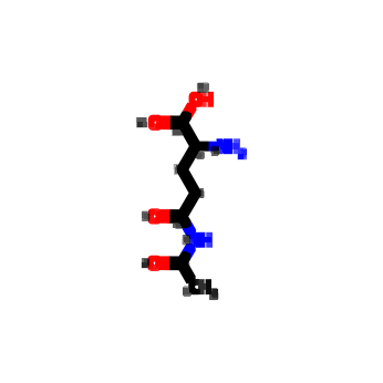 CC(=O)NC(=O)CCC(N)C(=O)O